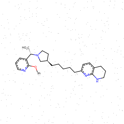 CC(C)Oc1ncccc1[C@H](C(=O)O)N1CC[C@@H](CCCCCc2ccc3c(n2)NCCC3)C1